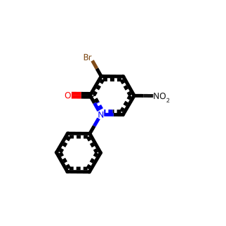 O=c1c(Br)cc([N+](=O)[O-])cn1-c1ccccc1